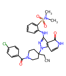 CN(C)S(=O)(=O)c1ccccc1Nc1nn(C2(CC#N)CCN(C(=O)c3ccc(Cl)cc3)CC2)c2cc[nH]c(=O)c12